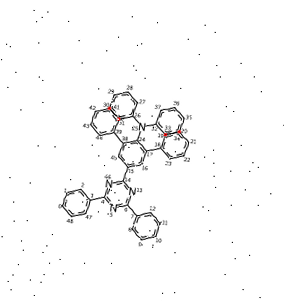 c1ccc(-c2nc(-c3ccccc3)nc(-c3cc(-c4ccccc4)c(N(c4ccccc4)c4ccccc4)c(-c4ccccc4)c3)n2)cc1